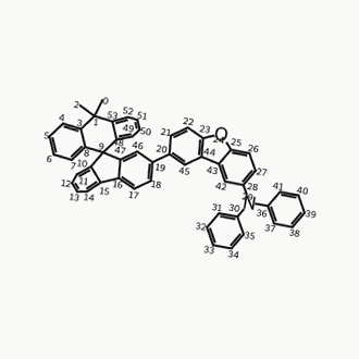 CC1(C)c2ccccc2C2(c3ccccc3-c3ccc(-c4ccc5oc6ccc(N(c7ccccc7)c7ccccc7)cc6c5c4)cc32)c2ccccc21